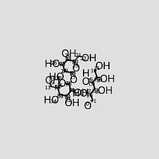 O=C[C@H](O)[C@@H](O)[C@@H](O)[C@H](O)CO.OC[C@H]1O[C@H](O[C@H]2O[C@H](CO)[C@@H](O)[C@H](O)[C@H]2O)[C@H](O)[C@@H](O)[C@@H]1O